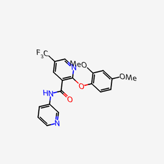 COc1ccc(Oc2ncc(C(F)(F)F)cc2C(=O)Nc2cccnc2)c(OC)c1